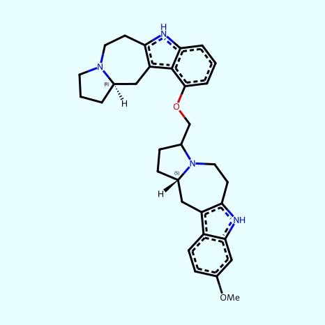 COc1ccc2c3c([nH]c2c1)CCN1C(COc2cccc4[nH]c5c(c24)C[C@H]2CCCN2CC5)CC[C@H]1C3